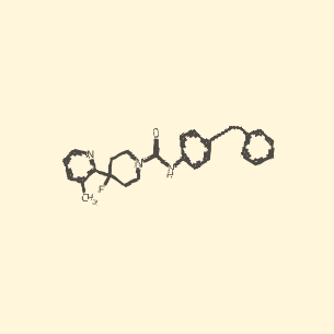 Cc1cccnc1C1(F)CCN(C(=O)Nc2ccc(Cc3ccccc3)cc2)CC1